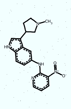 CN1CCC(c2c[nH]c3ccc(Nc4ncccc4[N+](=O)[O-])cc23)C1